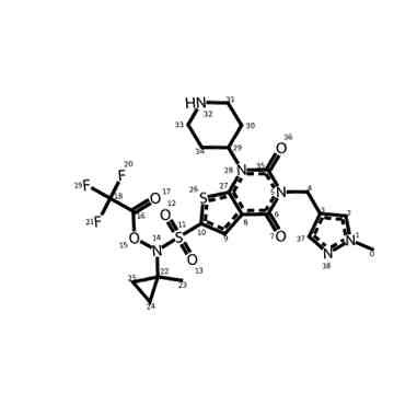 Cn1cc(Cn2c(=O)c3cc(S(=O)(=O)N(OC(=O)C(F)(F)F)C4(C)CC4)sc3n(C3CCNCC3)c2=O)cn1